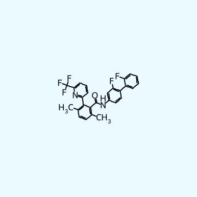 Cc1ccc(C)c(-c2cccc(C(F)(F)F)n2)c1C(=O)Nc1ccc(-c2ccccc2F)c(F)c1